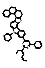 C/C=C\C=C(/CC)c1nc(-c2ccc3c4c5oc6c(c5ccc4n(C4=CC=CCC4)c3c2)-c2c(ccc3ccccc23)CC6)cc(C2C=CC=CC2)n1